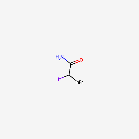 CCCC(I)C(N)=O